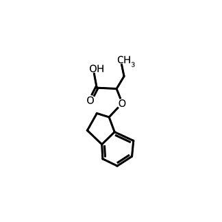 CCC(OC1CCc2ccccc21)C(=O)O